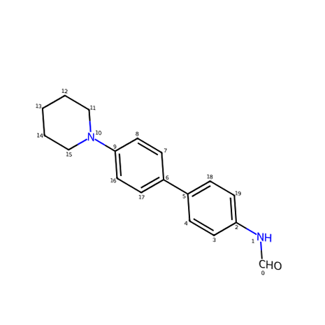 O=CNc1ccc(-c2ccc(N3CCCCC3)cc2)cc1